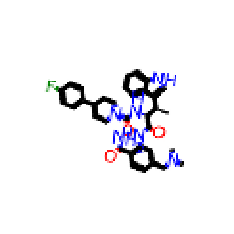 C[C@H](c1c[nH]c2ccccc12)[C@@H](NC(=O)N1CCC(c2ccc(F)cc2)CC1)C(=O)Nc1cc(CN(C)C)ccc1C(N)=O